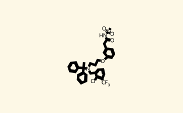 CC(c1ccccc1)(c1ccccc1)N(CCCOc1cccc(CC(=O)NS(C)(=O)=O)c1)Cc1cccc(C(F)(F)F)c1Cl